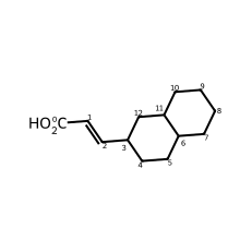 O=C(O)C=CC1CCC2CCCCC2C1